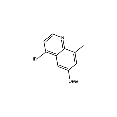 COc1cc(C)c2nccc(C(C)C)c2c1